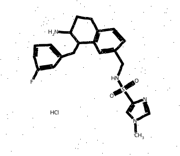 Cl.Cn1cnc(S(=O)(=O)NCc2ccc3c(c2)C(Cc2cccc(F)c2)C(N)CC3)c1